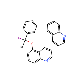 CCC(I)(Oc1cccc2ncccc12)c1ccccc1.c1ccc2ncccc2c1